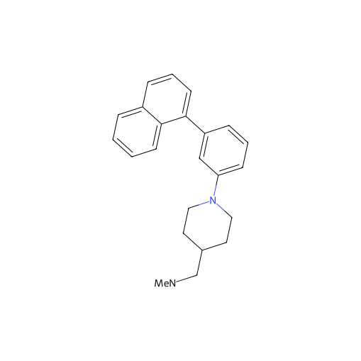 CNCC1CCN(c2cccc(-c3cccc4ccccc34)c2)CC1